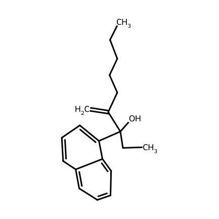 C=C(CCCCC)C(O)(CC)c1cccc2ccccc12